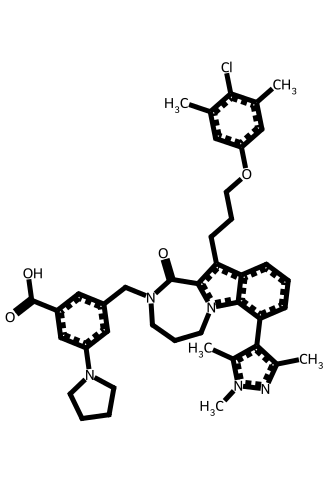 Cc1cc(OCCCc2c3n(c4c(-c5c(C)nn(C)c5C)cccc24)CCCN(Cc2cc(C(=O)O)cc(N4CCCC4)c2)C3=O)cc(C)c1Cl